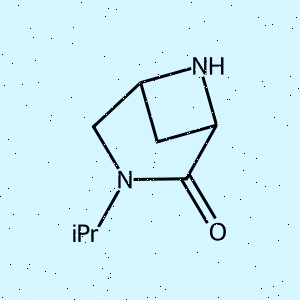 CC(C)N1CC2CC(N2)C1=O